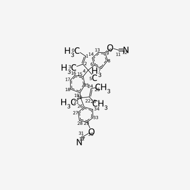 CC=C(C)C(C)(c1ccc(OC#N)cc1)c1cccc(C(C)(C(C)=CC)c2ccc(OC#N)cc2)c1